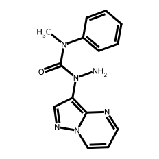 CN(C(=O)N(N)c1cnn2cccnc12)c1ccccc1